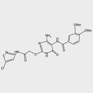 COc1ccc(C(=O)Nc2c(N)nc(SCC(=O)Nc3cc(Cl)sn3)[nH]c2=O)cc1OC